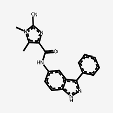 Cc1c(C(=O)Nc2ccc3[nH]nc(-c4ccccc4)c3c2)nc(C#N)n1C